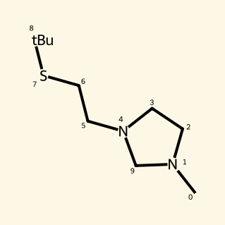 CN1CCN(CCSC(C)(C)C)C1